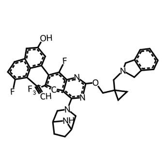 C#Cc1c(F)ccc2cc(O)cc(-c3c(C(F)(F)F)cc4c(N5CC6CCC(C5)N6)nc(OCC5(CN6Cc7ccccc7C6)CC5)nc4c3F)c12